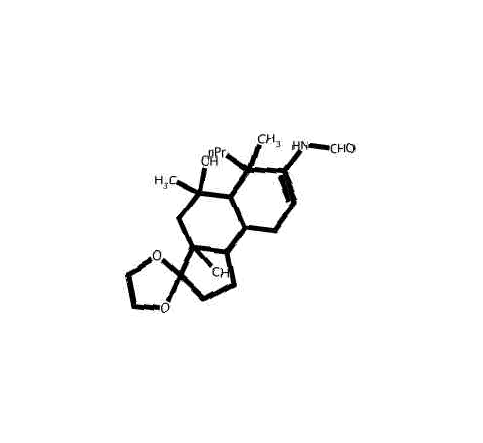 CCCC1(C)C(NC=O)=CCC2C1C(C)(O)CC1(C)C2CCC12OCCO2